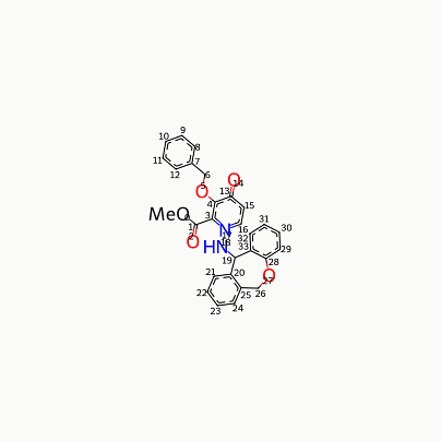 COC(=O)c1c(OCc2ccccc2)c(=O)ccn1NC1c2ccccc2COc2ccccc21